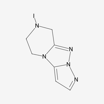 IN1CCn2c(nn3nccc23)C1